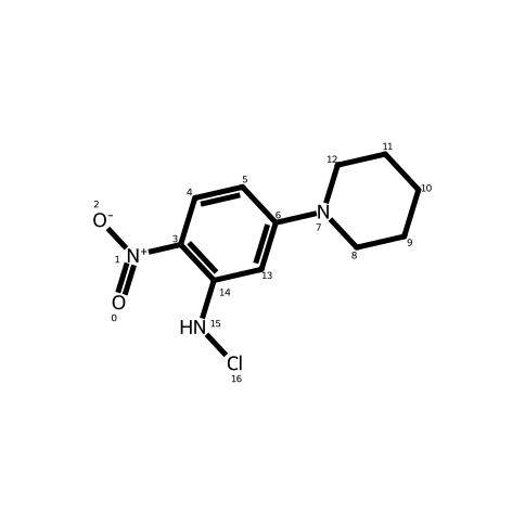 O=[N+]([O-])c1ccc(N2CCCCC2)cc1NCl